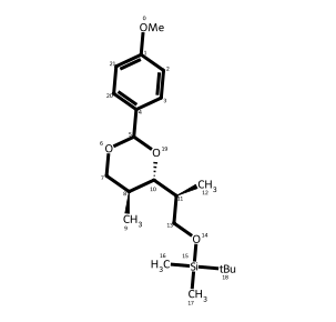 COc1ccc(C2OC[C@H](C)[C@@H]([C@@H](C)CO[Si](C)(C)C(C)(C)C)O2)cc1